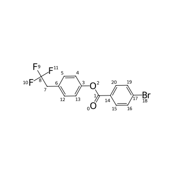 O=C(Oc1ccc(CC(F)(F)F)cc1)c1ccc(Br)cc1